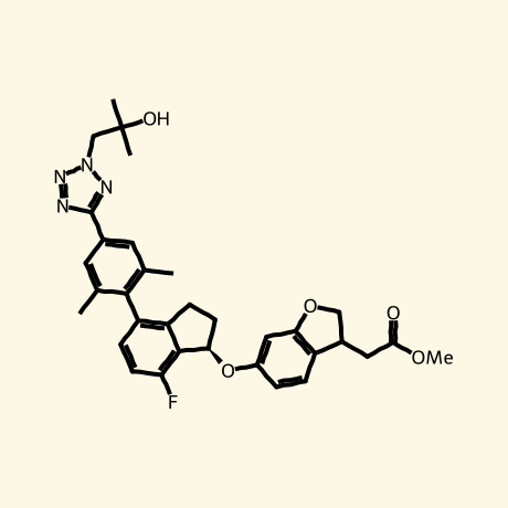 COC(=O)CC1COc2cc(O[C@@H]3CCc4c(-c5c(C)cc(-c6nnn(CC(C)(C)O)n6)cc5C)ccc(F)c43)ccc21